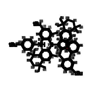 Cc1cc2c(cc1B(c1c(C)cc(C(C)(C)C)cc1Nc1ccc(C(C)(C)C)cc1)c1c(Cc3ccc(C(C)(C)C)cc3-c3ccccc3)sc3cc4c(cc13)C(C)(C)CCC4(C)C)C(C)(C)CCC2(C)C